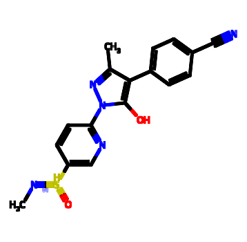 C/N=[SH](=O)/c1ccc(-n2nc(C)c(-c3ccc(C#N)cc3)c2O)nc1